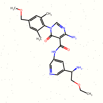 CCOC[C@H](N)c1cncc(NC(=O)c2c(N)ncn(-c3c(C)cc(COC)cc3C)c2=O)c1